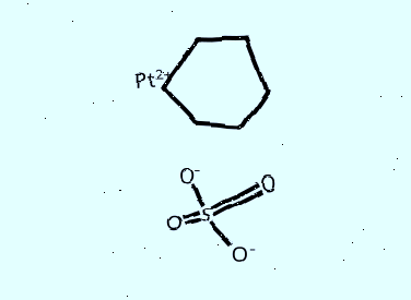 C1CCCCC1.O=S(=O)([O-])[O-].[Pt+2]